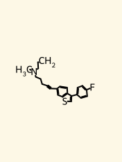 C=CCN(C)CCCC#Cc1ccc2c(-c3ccc(F)cc3)csc2c1